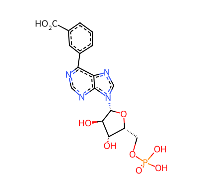 O=C(O)c1cccc(-c2ncnc3c2ncn3[C@@H]2O[C@H](COP(=O)(O)O)[C@H](O)[C@H]2O)c1